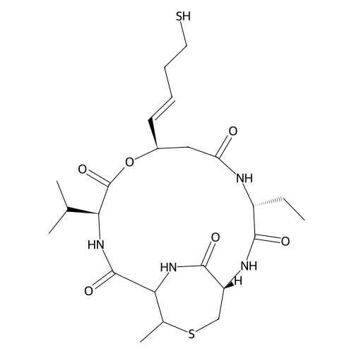 CC[C@H]1NC(=O)C[C@H](/C=C/CCS)OC(=O)[C@H](C(C)C)NC(=O)C2NC(=O)[C@@H](CSC2C)NC1=O